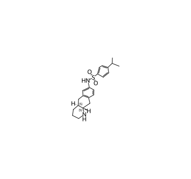 CC(C)c1ccc(S(=O)(=O)Nc2ccc3c(c2)C[C@@H]2CCCN[C@H]2C3)cc1